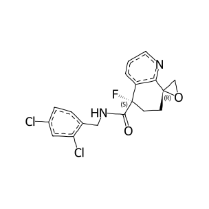 O=C(NCc1ccc(Cl)cc1Cl)[C@]1(F)CC[C@]2(CO2)c2ncccc21